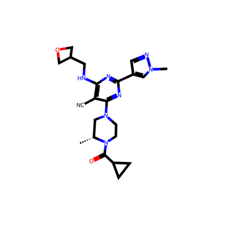 C[C@@H]1CN(c2nc(-c3cnn(C)c3)nc(NCC3COC3)c2C#N)CCN1C(=O)C1CC1